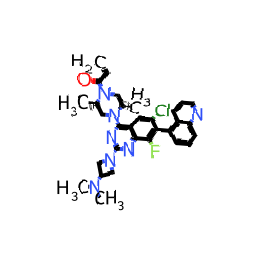 C=CC(=O)N1C[C@H](C)N(c2nc(N3CC(N(C)C)C3)nc3c(F)c(-c4cccc5ncccc45)c(Cl)cc23)C[C@H]1C